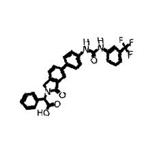 O=C(Nc1ccc(-c2ccc3c(c2)C(=O)N(C(C(=O)O)c2ccccc2)C3)cc1)Nc1cccc(C(F)(F)F)c1